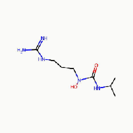 CC(C)NC(=O)N(O)CCCNC(=N)N